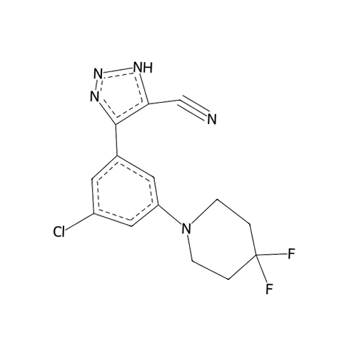 N#Cc1[nH]nnc1-c1cc(Cl)cc(N2CCC(F)(F)CC2)c1